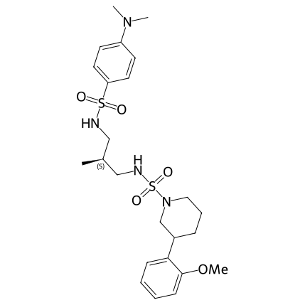 COc1ccccc1C1CCCN(S(=O)(=O)NC[C@@H](C)CNS(=O)(=O)c2ccc(N(C)C)cc2)C1